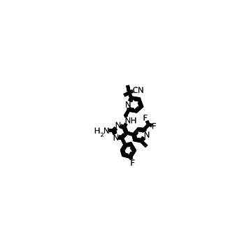 Cc1cc(-c2c(NCc3cccc(C(C)(C)C#N)n3)nc(N)nc2-c2ccc(F)cc2)cc(C(F)F)n1